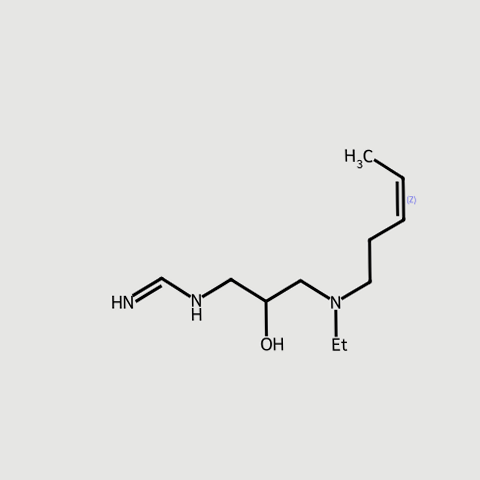 C/C=C\CCN(CC)CC(O)CNC=N